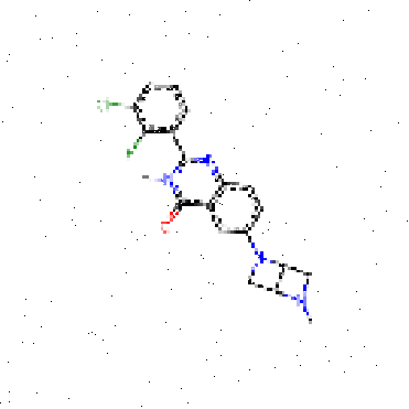 CN1CC2C1CN2c1ccc2nc(-c3cccc(Cl)c3F)n(C)c(=O)c2c1